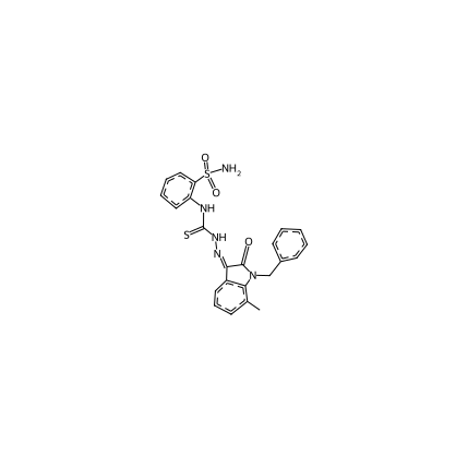 Cc1cccc2c1N(Cc1ccccc1)C(=O)C2=NNC(=S)Nc1ccccc1S(N)(=O)=O